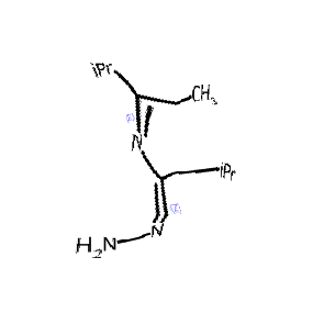 C/C(=N\C(=N/N)C(C)C)C(C)C